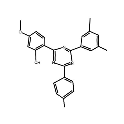 COc1ccc(-c2nc(-c3ccc(C)cc3)nc(-c3cc(C)cc(C)c3)n2)c(O)c1